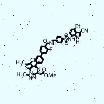 CCc1ccc(NS(=O)(=O)c2ccc(CNC(=O)c3ccc(-c4ccc(C5=N[C@@H](CC(=O)OC)c6nnc(C)n6-c6sc(C)c(C)c65)cc4)cc3F)cc2)c2[nH]cc(C#N)c12